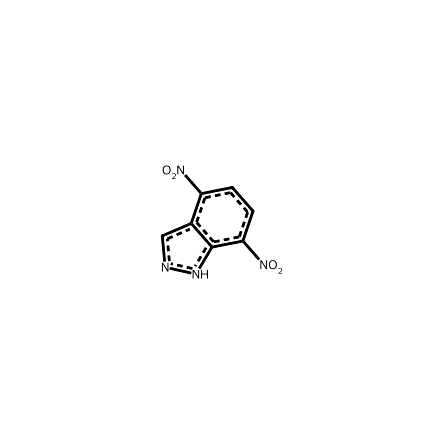 O=[N+]([O-])c1ccc([N+](=O)[O-])c2[nH]ncc12